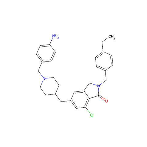 CCc1ccc(CN2Cc3cc(CC4CCN(Cc5ccc(N)cc5)CC4)cc(Cl)c3C2=O)cc1